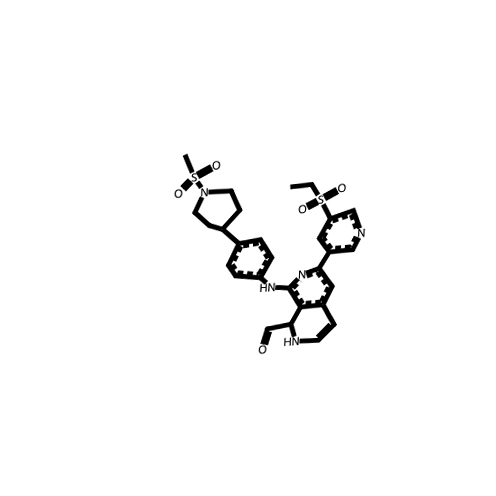 CCS(=O)(=O)c1cncc(-c2cc3c(c(Nc4ccc(C5CCN(S(C)(=O)=O)CC5)cc4)n2)C(C=O)NC=C3)c1